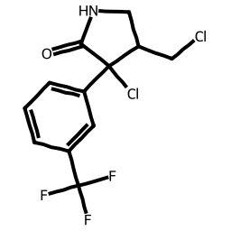 O=C1NCC(CCl)C1(Cl)c1cccc(C(F)(F)F)c1